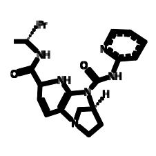 CC(C)[C@@H](C)NC(=O)C1C=CC2=C(N1)N(C(=O)Nc1ccccn1)[C@H]1CCN2C1